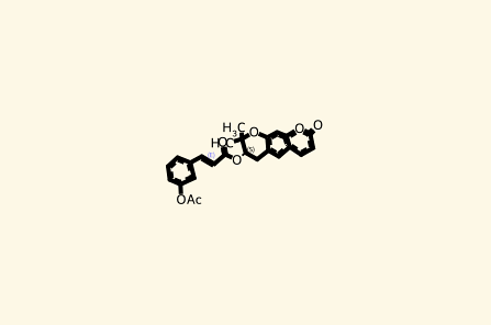 CC(=O)Oc1cccc(/C=C/C(=O)O[C@H]2Cc3cc4ccc(=O)oc4cc3OC2(C)C)c1